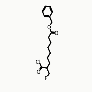 O=C(CCCCCCC(CF)C(=O)Cl)OCc1ccccc1